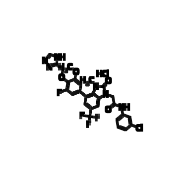 COc1cc(-c2cc(C(F)(F)F)cc3c2n(C)c(=O)n3CC(=O)Nc2cccc(Cl)c2)cc(F)c1OCc1nnc[nH]1.Cl